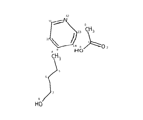 CC(=O)O.CCCCO.c1ccncc1